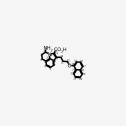 NC1CCc2cccc3c(CCCOc4cccc5ccccc45)c(C(=O)O)n1c23